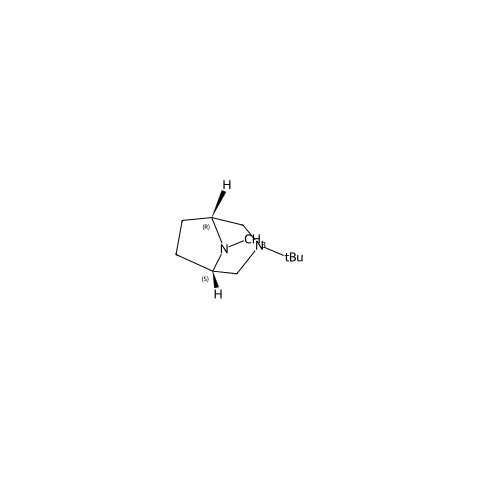 CN1[C@@H]2CC[C@H]1CN(C(C)(C)C)C2